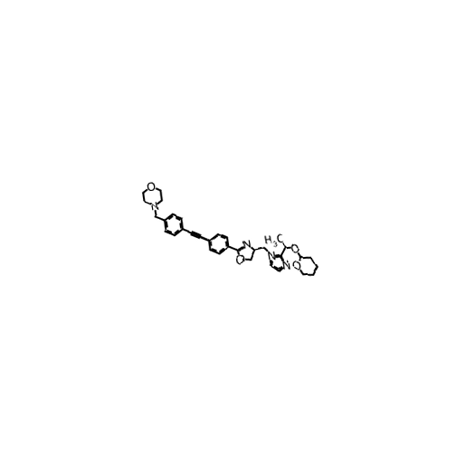 CC(OC1CCCCO1)c1nccn1CC1COC(c2ccc(C#Cc3ccc(CN4CCOCC4)cc3)cc2)=N1